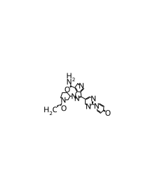 C=CC(=O)N1CCC[C@@H](n2nc(-c3cnc(-n4ccc(=O)cc4)nc3)c3cncc(C(N)=O)c32)C1